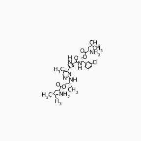 CC[C@H](COC(=O)[C@@H](N)CC(C)C)Nc1ncc(C)c(-c2c[nH]c(C(=O)N[C@H](COC(=O)[C@@H](N)CC(C)C)c3cccc(Cl)c3)c2)n1